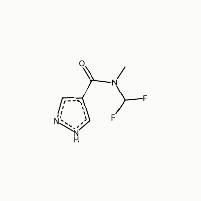 CN(C(=O)c1cn[nH]c1)C(F)F